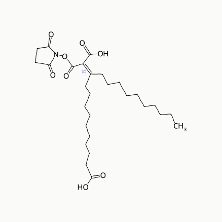 CCCCCCCCCC/C(CCCCCCCCCC(=O)O)=C(\C(=O)O)C(=O)ON1C(=O)CCC1=O